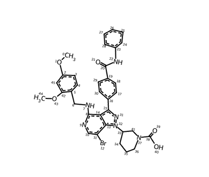 COc1ccc(CNc2ncc(Br)c3c2c(-c2ccc(C(=O)Nc4ccccc4)cc2)nn3C2CCCN(C(=O)O)C2)c(OC)c1